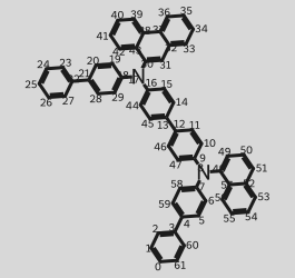 c1ccc(-c2ccc(N(c3ccc(-c4ccc(N(c5ccc(-c6ccccc6)cc5)c5cc6ccccc6c6ccccc56)cc4)cc3)c3cccc4ccccc34)cc2)cc1